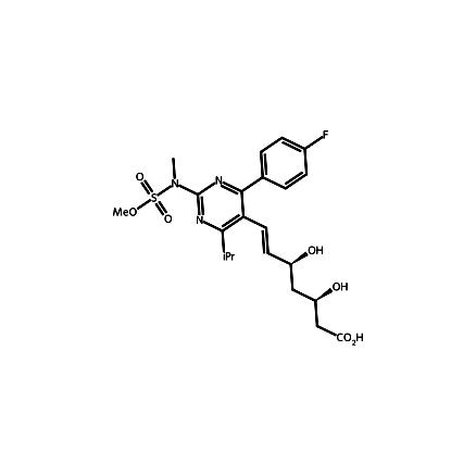 COS(=O)(=O)N(C)c1nc(-c2ccc(F)cc2)c(/C=C/[C@@H](O)C[C@@H](O)CC(=O)O)c(C(C)C)n1